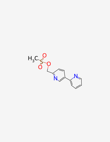 CS(=O)(=O)OCc1ccc(-c2ccccn2)cn1